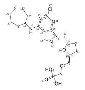 O=P(O)(O)COC[C@@H]1CC[C@@H](Cn2ncc3c(NC4CCCCCC4)nc(Cl)nc32)O1